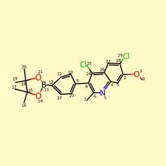 COc1cc2nc(C)c(-c3ccc(B4OC(C)(C)C(C)(C)O4)cc3)c(Cl)c2cc1Cl